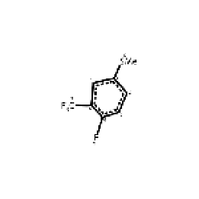 CSc1ccc(F)c(C(F)(F)F)c1